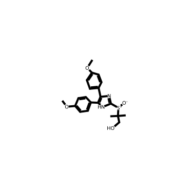 COc1ccc(-c2nc([S+]([O-])C(C)(C)CO)[nH]c2-c2ccc(OC)cc2)cc1